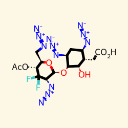 CC(=O)O[C@@H]1[C@@H](CN=[N+]=[N-])O[C@H](O[C@H]2[C@@H](O)[C@@H](CC(=O)O)[C@H](N=[N+]=[N-])C[C@@H]2N=[N+]=[N-])[C@H](N=[N+]=[N-])C1(F)F